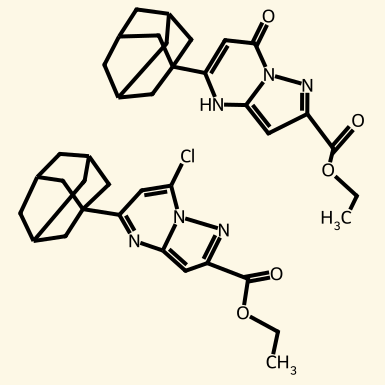 CCOC(=O)c1cc2[nH]c(C34CC5CC(CC(C5)C3)C4)cc(=O)n2n1.CCOC(=O)c1cc2nc(C34CC5CC(CC(C5)C3)C4)cc(Cl)n2n1